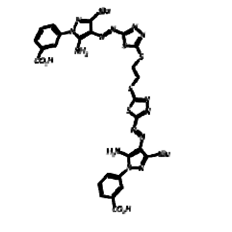 CC(C)(C)c1nn(-c2cccc(C(=O)O)c2)c(N)c1/N=N/c1nnc(SCCSc2nnc(/N=N/c3c(C(C)(C)C)nn(-c4cccc(C(=O)O)c4)c3N)s2)s1